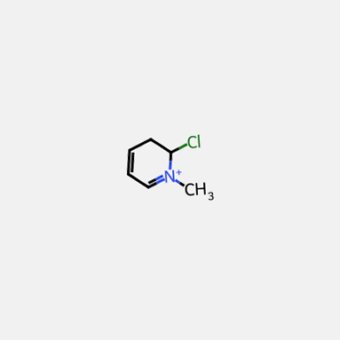 C[N+]1=CC=CCC1Cl